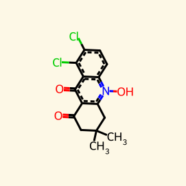 CC1(C)CC(=O)c2c(n(O)c3ccc(Cl)c(Cl)c3c2=O)C1